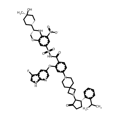 CC(C)c1ccccc1[C@@H]1CCC(=O)C1N1CC2(CCN(c3ccc(C(=O)NS(=O)(=O)c4cc5c(c([N+](=O)[O-])c4)N[C@@H]([C@H]4CC[C@](C)(O)CC4)CO5)c(Oc4cnc5[nH]cc(F)c5c4)c3)CC2)C1